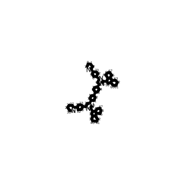 c1ccc(-c2ccc(-c3cc(-c4ccc(-c5ccc(-c6cc(-c7ccc(-c8ccccn8)cc7)nc(-c7cc8ccccc8c8ccccc78)n6)cc5)cc4)nc(-c4cc5ccccc5c5ccccc45)n3)cc2)nc1